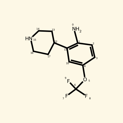 Nc1ccc(OC(F)(F)F)cc1C1CCNCC1